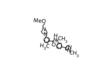 COCCN1CCN(c2ccc(C)c(C(=O)NC(C)c3cccc(-c4cnn(C)c4)c3)c2)CC1